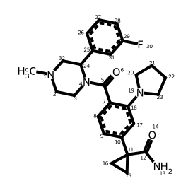 CN1CCN(C(=O)c2ccc(C3(C(N)=O)CC3)cc2N2CCCC2)C(c2cccc(F)c2)C1